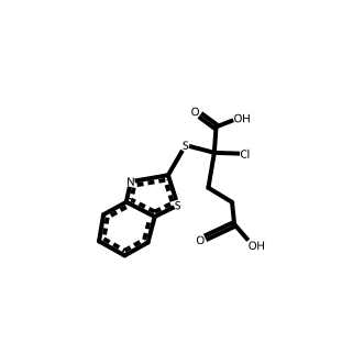 O=C(O)CCC(Cl)(Sc1nc2ccccc2s1)C(=O)O